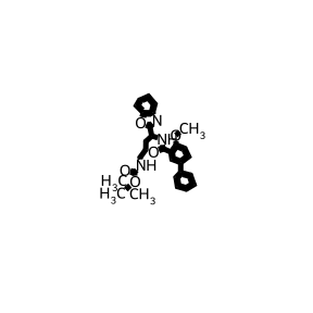 COc1ccc(-c2ccccc2)cc1C(=O)NC(CCCNC(=O)OC(C)(C)C)c1nc2ccccc2o1